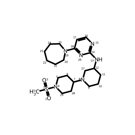 CS(=O)(=O)N1CCC(N2CCCC(Nc3nccc(N4CCCCCC4)n3)C2)CC1